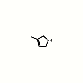 CC1=C[CH]NC1